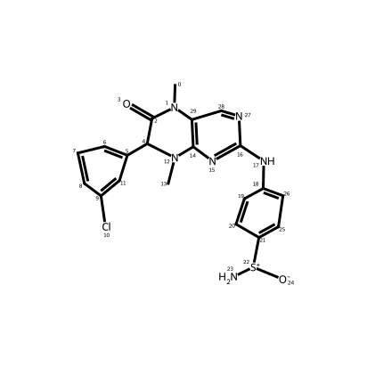 CN1C(=O)C(c2cccc(Cl)c2)N(C)c2nc(Nc3ccc([S+](N)[O-])cc3)ncc21